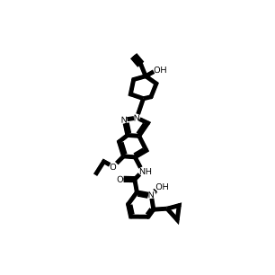 C#CC1(O)CCC(n2cc3cc(NC(=O)c4cccc(C5CC5)[n+]4O)c(OCC)cc3n2)CC1